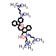 CN(C)CCCN(C)c1ccc(C2(c3ccccc3)C=Cc3c(CO)c(N(CCCN(C)C)CCCN(C)C)c4ccccc4c3O2)cc1